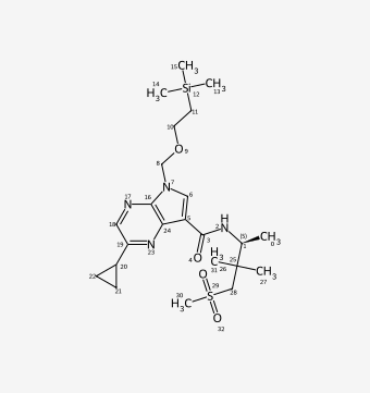 C[C@H](NC(=O)c1cn(COCC[Si](C)(C)C)c2ncc(C3CC3)nc12)C(C)(C)CS(C)(=O)=O